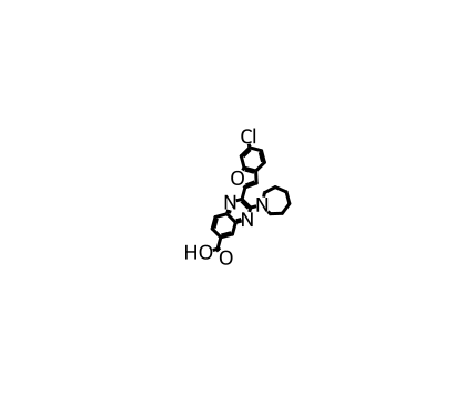 O=C(O)c1ccc2nc(-c3cc4ccc(Cl)cc4o3)c(N3CCCCCC3)nc2c1